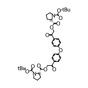 CC(C)(C)OC(=O)N1CCC[C@H]1C(=O)OCC(=O)c1ccc(Oc2ccc(C(=O)COC(=O)[C@@H]3CCCN3C(=O)OC(C)(C)C)cc2)cc1